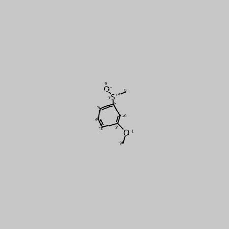 COc1[c]ccc([S+](C)[O-])c1